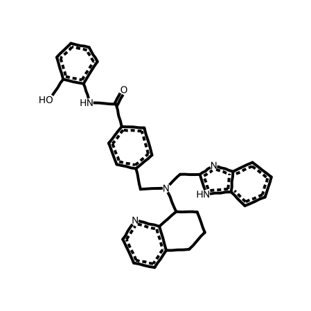 O=C(Nc1ccccc1O)c1ccc(CN(Cc2nc3ccccc3[nH]2)C2CCCc3cccnc32)cc1